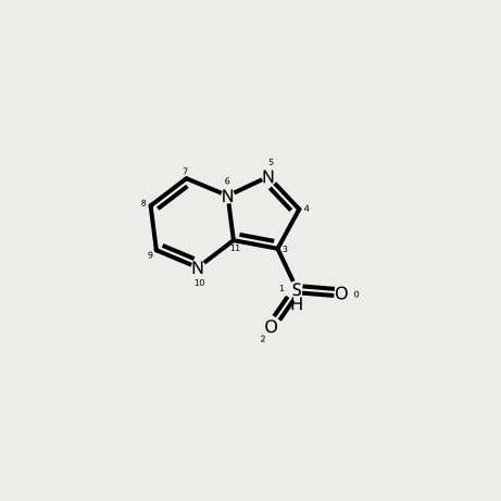 O=[SH](=O)c1cnn2cccnc12